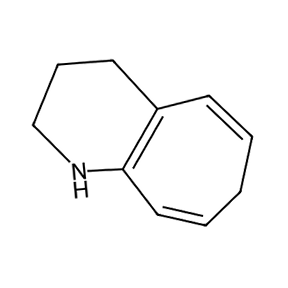 C1=CC2=C(C=CC1)NCCC2